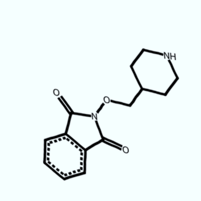 O=C1c2ccccc2C(=O)N1OCC1CCNCC1